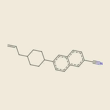 C=CCC1CCC(c2ccc3cc(C#N)ccc3c2)CC1